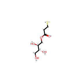 O=C(CCS)OC[C@H](O)[C@H](O)CO